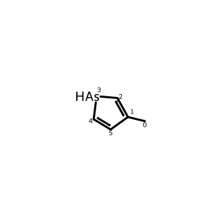 CC1=[C][AsH]C=C1